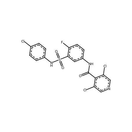 O=C(Nc1ccc(F)c(S(=O)(=O)Nc2ccc(Cl)cc2)c1)c1c(Cl)cncc1Cl